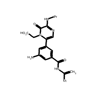 C=C(CC)NC(=O)c1cc(N)cc(-c2cnc(NC(C)C)c(=O)n2CC(=O)O)c1